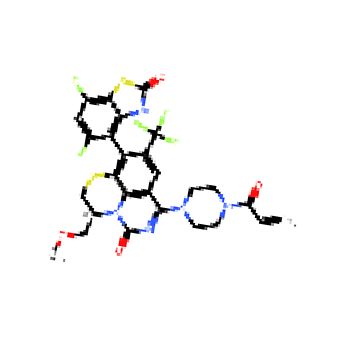 C=CC(=O)N1CCN(c2nc(=O)n3c4c(c(-c5c(F)cc(F)c6sc(=O)[nH]c56)c(C(F)(F)F)cc24)SC[C@@H]3COC)CC1